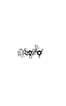 BC(B)(Oc1cc2n(c(=O)n1)CC(C)(C)N2C)c1cc(F)cc(F)c1